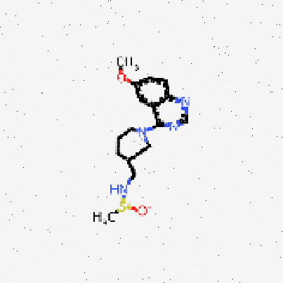 COc1ccc2ncnc(N3CCCC(CN[S+](C)[O-])C3)c2c1